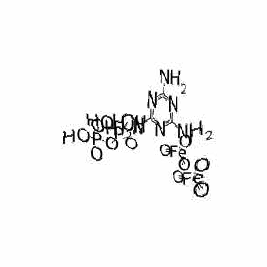 Nc1nc(N)nc(N)n1.O=P(O)(O)OP(=O)(O)O.[O]=[Fe](=[O])=[O].[O]=[Fe](=[O])=[O]